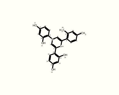 Cc1ccc(C2=CN(c3ccc(O)cc3O)C=C(c3ccc(O)cc3O)S2)c(C)c1